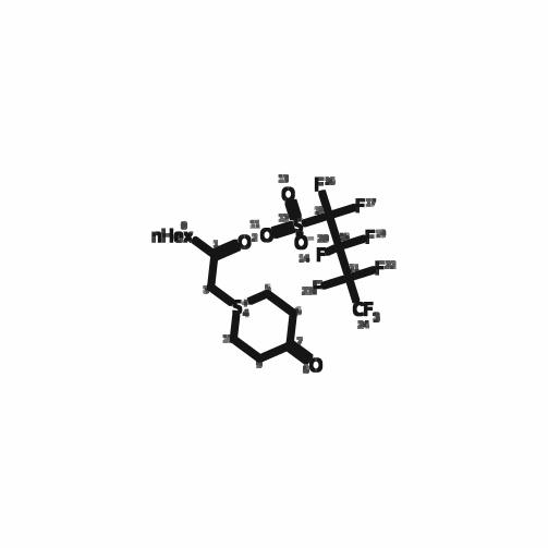 CCCCCCC(=O)C[S+]1CCC(=O)CC1.O=S(=O)([O-])C(F)(F)C(F)(F)C(F)(F)C(F)(F)F